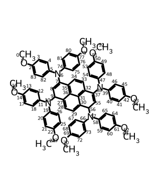 COc1ccc(N(C2=CC(N(c3ccc(OC)cc3)c3ccc(OC)cc3)c3ccc4c5c(ccc2c35)C(N(c2ccc(OC)cc2)c2ccc(OC)cc2)=CC4N(c2ccc(OC)cc2)c2ccc(OC)cc2)c2ccc(OC)cc2)cc1